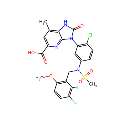 COc1ccc(F)c(F)c1CN(c1ccc(Cl)c(-n2c(=O)[nH]c3c(C)cc(C(=O)O)nc32)c1)S(C)(=O)=O